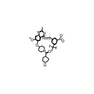 COc1cc2nc(C)nc(N[C@H](C)c3cc([N+](=O)[O-])cc(C(F)(F)F)c3)c2cc1OC1CCN(C(=O)C2CCNCC2)CC1